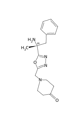 C[C@@](N)(Cc1ccccc1)c1nnc(CN2CCC(=O)CC2)o1